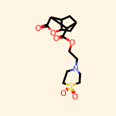 O=C(OCCN1CCS(=O)(=O)CC1)C1C2CC3OC(=O)C1C3C2